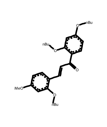 CCCCOc1ccc(C(=O)/C=C/c2ccc(OC)cc2OCCCC)c(OCCCC)c1